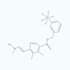 CCN(C)/C=N/c1ccc(C(=O)OCc2cccc(S(F)(F)(F)(F)F)c2)c(C)c1C